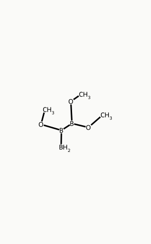 BB(OC)B(OC)OC